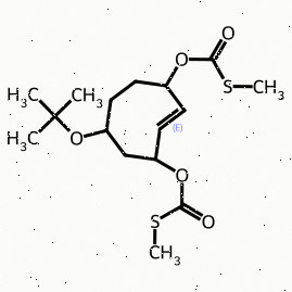 CSC(=O)OC1/C=C/C(OC(=O)SC)CC(OC(C)(C)C)CC1